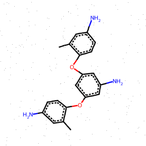 Cc1cc(N)ccc1Oc1cc(N)cc(Oc2ccc(N)cc2C)c1